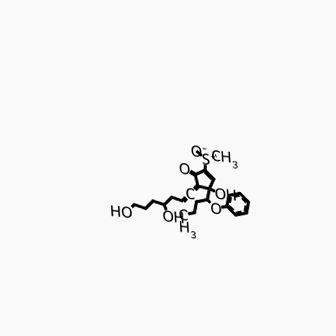 CCCC(Oc1ccccc1)C1(O)C=C([S+](C)[O-])C(=O)C1=C=CCC(O)CCCO